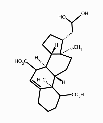 C[C@]12CC[C@H]3[C@@H](C(C(=O)O)C=C4CCCC(C(=O)O)[C@@]43C)[C@@H]1CC[C@@H]2CC(O)O